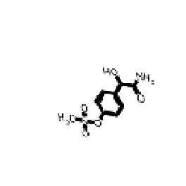 CS(=O)(=O)Oc1ccc(C(O)C(N)=O)cc1